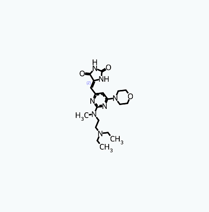 CCN(CC)CCN(C)c1nc(/C=C2\NC(=O)NC2=O)cc(N2CCOCC2)n1